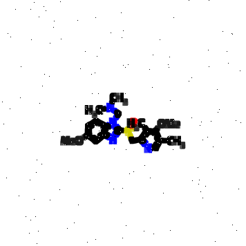 COc1ccc2c(c1)nc([S+]([O-])Cc1ncc(C)c(OC)c1C)n2CN(C)C